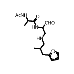 CC(=O)NC(C)C(=O)NC(C=O)CNCC(C)Cc1ccco1